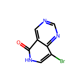 O=c1[nH]cc(Br)c2ncncc12